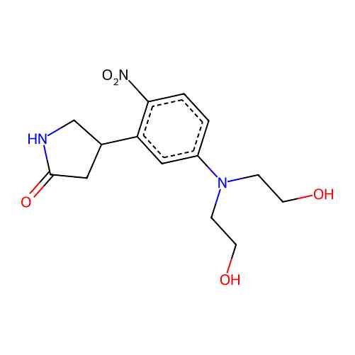 O=C1CC(c2cc(N(CCO)CCO)ccc2[N+](=O)[O-])CN1